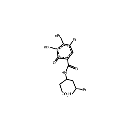 CCCCn1c(CCC)c(CC)cc(C(=O)NC(CC(=O)O)CC(C)C(C)C)c1=O